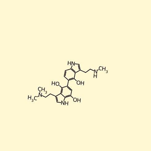 CNCCc1c[nH]c2ccc(-c3cc(O)c4[nH]cc(CCN(C)C)c4c3O)c(O)c12